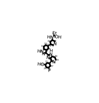 CCC(O)Nc1cncc(-c2ccc3[nH]nc(-c4nc5c(-c6cc(O)cc(F)c6)nccc5[nH]4)c3c2)c1